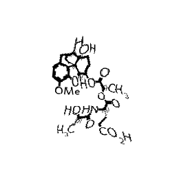 COc1ccc2c3c1O[C@H]1C(OC(=O)[C@H](C)OC(=O)[C@H](CCC(=O)O)NC(=O)[C@H](C)O)=CC[C@@]4(O)[C@H](CCC[C@]314)C2